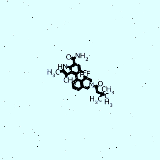 Cc1[nH]c2c(C(N)=O)cc(F)c(-c3cccc4c3C(F)(F)CN(C(=O)CC(C)(C)C)C4)c2c1C